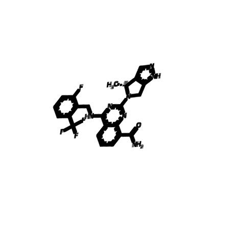 C[C@@H]1c2cn[nH]c2CN1c1nc(NCc2c(F)cccc2C(F)(F)F)c2cccc(C(N)=O)c2n1